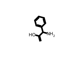 C=C(O)C(N)c1ccccc1